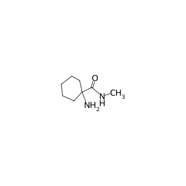 CNC(=O)C1(N)CCCCC1